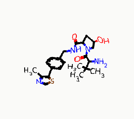 Cc1ncsc1-c1ccc(CNC(=O)C2C[C@@H](O)CN2C(=O)C(N)C(C)(C)C)cc1